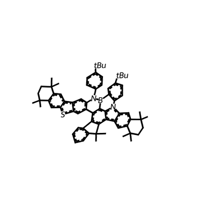 CC(C)(C)c1ccc(N2B3c4cc(C(C)(C)C)ccc4-n4c5cc6c(cc5c5c7c(c(c3c54)-c3cc4sc5cc8c(cc5c4cc32)C(C)(C)CCC8(C)C)-c2ccccc2C7(C)C)C(C)(C)CCC6(C)C)cc1